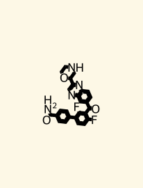 NC(=O)c1ccc(-c2ccc(F)c(C(=O)c3ccc4nc(C5CNCCO5)cnc4c3)c2F)cc1